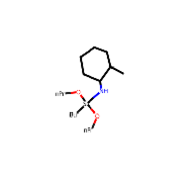 CCCO[Si](NC1CCCCC1C)(OCCC)C(C)CC